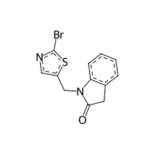 O=C1Cc2ccccc2N1Cc1cnc(Br)s1